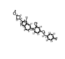 COC1CC(c2nc3ccc(-n4ccc(OCc5ccc(F)cc5)cc4=O)cc3n2C)C1